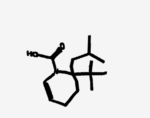 CC(C)CC1(C(C)(C)C)CCC=CN1C(=O)O